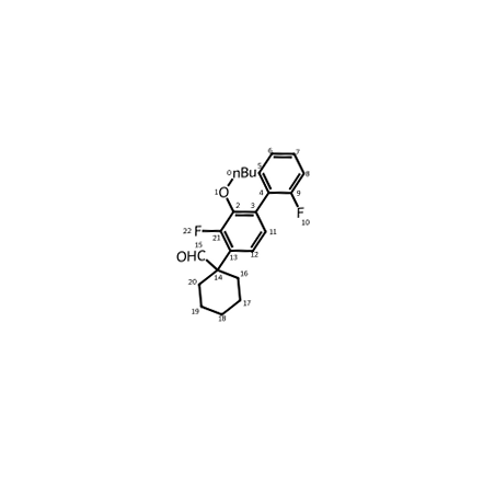 CCCCOc1c(-c2ccccc2F)ccc(C2(C=O)CCCCC2)c1F